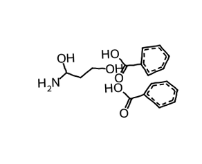 NC(O)CCO.O=C(O)c1ccccc1.O=C(O)c1ccccc1